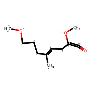 COCCCC(C)=CCC(=C=O)OC